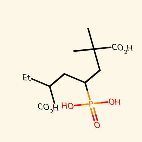 CCC(CC(CC(C)(C)C(=O)O)P(=O)(O)O)C(=O)O